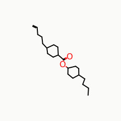 C=CCCCC1CCC(C(=O)OC2CCC(CCCC)CC2)CC1